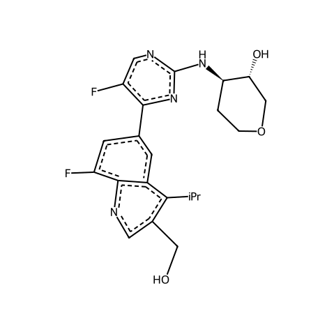 CC(C)c1c(CO)cnc2c(F)cc(-c3nc(N[C@@H]4CCOC[C@H]4O)ncc3F)cc12